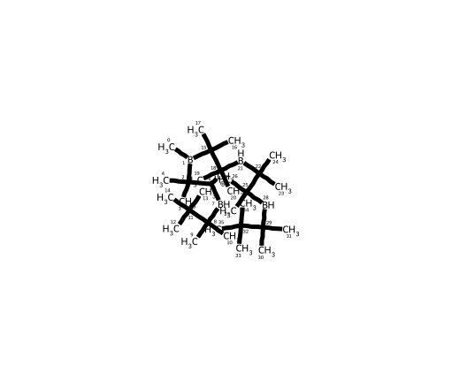 CB(C(C)(C)C(C)BC(C)(C)C(C)(C)C)C(C)(C)C(C)(C)BC(C)(C)C(C)(C)BC(C)(C)C(C)(C)C